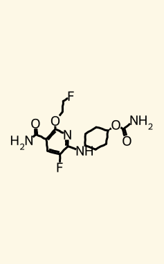 NC(=O)O[C@H]1CC[C@H](Nc2nc(OCCF)c(C(N)=O)cc2F)CC1